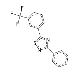 FC(F)(F)c1cccc(-c2nc(-c3ccccc3)ns2)c1